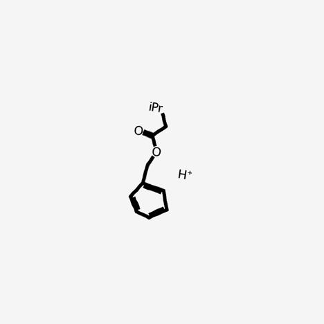 CC(C)CC(=O)OCc1ccccc1.[H+]